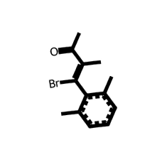 CC(=O)C(C)=C(Br)c1c(C)cccc1C